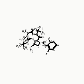 C[C@@H](C(=O)N[C@H](C(=O)N1CC(N)C[C@H]1C(=O)Nc1c(F)cccc1F)C(C)(C)C)N(C)C(=O)OC(C)(C)C